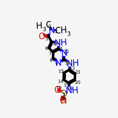 CN(C)C(=O)c1cc2cnc(Nc3ccc(N[SH](=O)=O)cc3)nc2[nH]1